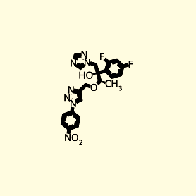 C[C@@H](OCc1cn(-c2ccc([N+](=O)[O-])cc2)nn1)[C@](O)(Cn1cncn1)c1ccc(F)cc1F